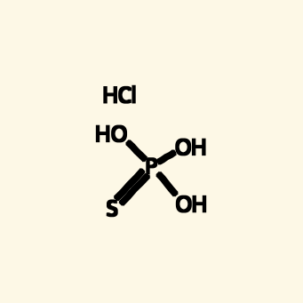 Cl.OP(O)(O)=S